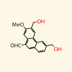 COc1cc2c(C=O)cc3ccc(CO)cc3c2cc1CO